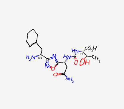 CC(O)[C@H](NC(=O)NC(CC(N)=O)c1nc([C@@H](N)CC2CCCCC2)no1)C(=O)O